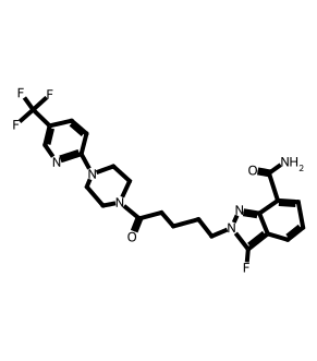 NC(=O)c1cccc2c(F)n(CCCCC(=O)N3CCN(c4ccc(C(F)(F)F)cn4)CC3)nc12